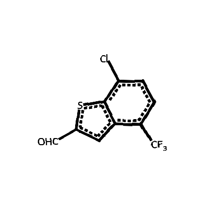 O=Cc1cc2c(C(F)(F)F)ccc(Cl)c2s1